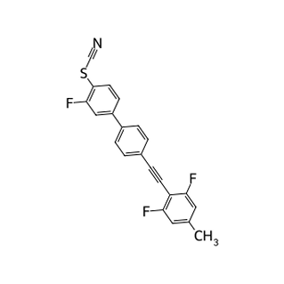 Cc1cc(F)c(C#Cc2ccc(-c3ccc(SC#N)c(F)c3)cc2)c(F)c1